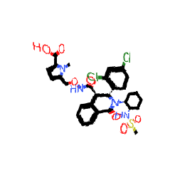 Cn1c(CONC(=O)[C@@H]2c3ccccc3C(=O)N([C@H]3CCCC[C@@H]3NS(C)(=O)=O)[C@H]2c2ccc(Cl)cc2Cl)ccc1C(=O)O